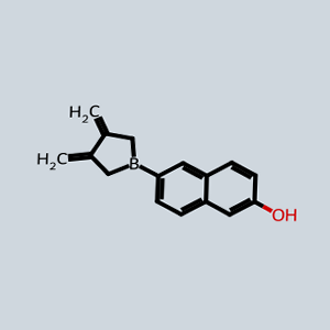 C=C1CB(c2ccc3cc(O)ccc3c2)CC1=C